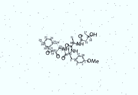 COc1ccc(C[C@H](NC(=O)[C@@H](C)NC(=O)CC(C)(C)O)C(=O)N[C@@H](Cc2ccc(C)cc2)C(=O)[C@H]2CO2)cc1